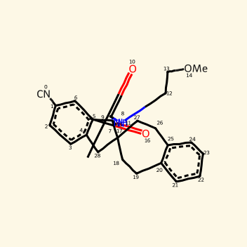 [C-]#[N+]c1ccc2c(c1)C1(NC(=O)N(CCOC)C1=O)C1(CCc3ccccc3CC1)C2